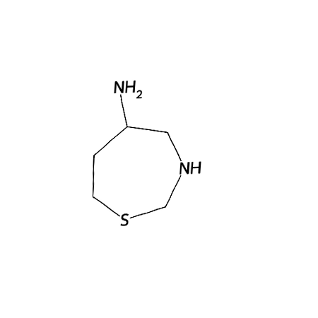 NC1CCSCNC1